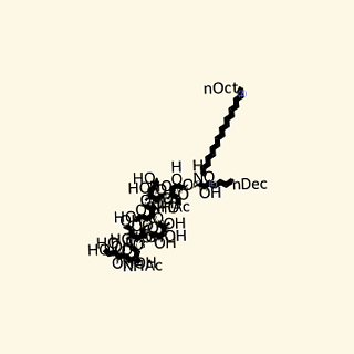 CCCCCCCC/C=C\CCCCCCCCCCCCCCCC(=O)N[C@@H](CO[C@@H]1OC(CO)[C@@H](O[C@@H]2OC(CO)[C@H](O)[C@H](O[C@@H]3OC(CO)[C@@H](O[C@@H]4OC(CO)[C@H](O)[C@H](O[C@]5(C(=O)O)CC(O)[C@@H](NC(C)=O)C([C@H](O)[C@H](O)CO)O5)C4O)[C@H](O[C@H]4OC(C)[C@@H](O)C(O)[C@@H]4O)C3NC(C)=O)C2O)[C@H](O)C1O)[C@H](O)/C=C/CCCCCCCCCCCCC